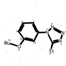 CCc1nnnn1-c1cccc(OC(C)CC)c1